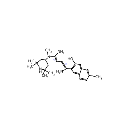 Cc1cnc2cc(/C(N)=C/C=C(\N)N(C)C3CC(C)(C)NC(C)(C)C3)c(O)cc2n1